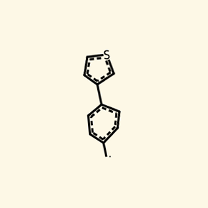 [CH2]c1ccc(-c2ccsc2)cc1